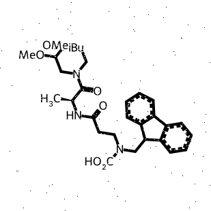 CCC(C)CN(CC(OC)OC)C(=O)[C@H](C)NC(=O)CCN(CC1c2ccccc2-c2ccccc21)C(=O)O